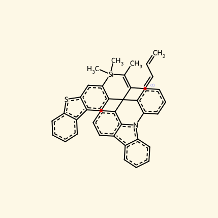 C=C/C=C\C1=C(C)[Si](C)(C)c2cc3sc4ccccc4c3cc2C12c1ccccc1-n1c3ccccc3c3cccc2c31